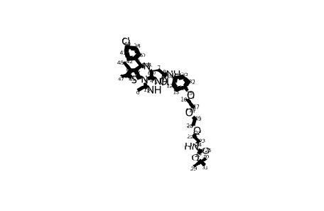 CC(=N)N1C(=N)[C@H](CC(=O)Nc2ccc(OCCOCCOCCNC(=O)OC(C)(C)C)cc2)N=C(c2ccc(Cl)cc2)c2c1sc(C)c2C